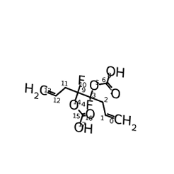 C=CCC(F)(OC(=O)O)C(F)(CC=C)OC(=O)O